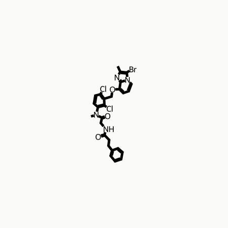 Cc1nc2c(OCc3c(Cl)ccc(N(C)C(=O)CNC(=O)CCc4ccccc4)c3Cl)cccn2c1Br